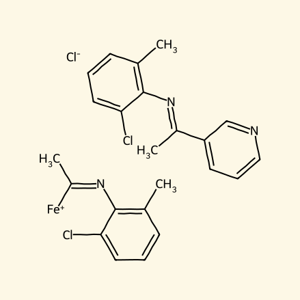 CC(=Nc1c(C)cccc1Cl)c1cccnc1.C[C]([Fe+])=Nc1c(C)cccc1Cl.[Cl-]